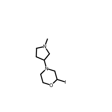 CN1CCC(N2CCOC(I)C2)C1